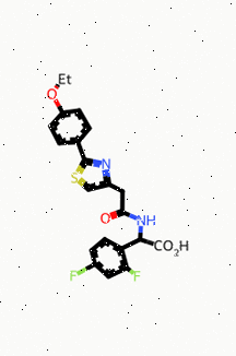 CCOc1ccc(-c2nc(CC(=O)NC(C(=O)O)c3ccc(F)cc3F)cs2)cc1